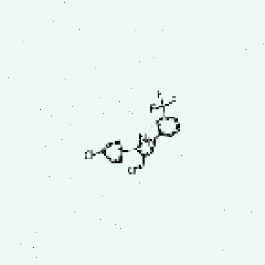 O=Cc1cn(-c2cccc(C(F)(F)F)c2)nc1-c1ccc(Cl)cc1